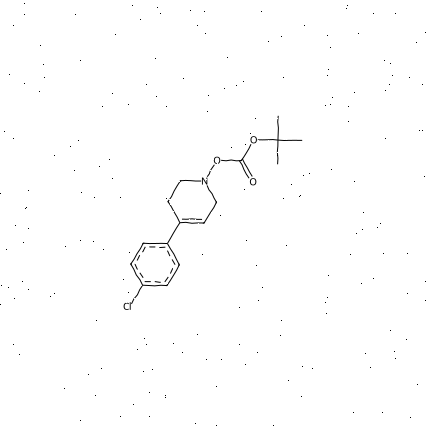 CC(C)(C)OC(=O)ON1CC=C(c2ccc(Cl)cc2)CC1